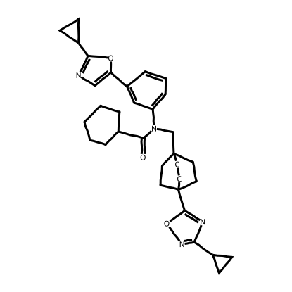 O=C(C1CCCCC1)N(CC12CCC(c3nc(C4CC4)no3)(CC1)CC2)c1cccc(-c2cnc(C3CC3)o2)c1